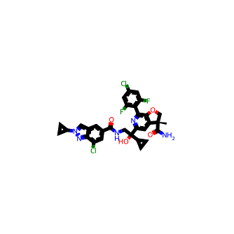 C[C@]1(C(N)=O)COc2c1cc(C(O)(CNC(=O)c1cc(Cl)c3nn(C4CC4)cc3c1)C1CC1)nc2-c1c(F)cc(Cl)cc1F